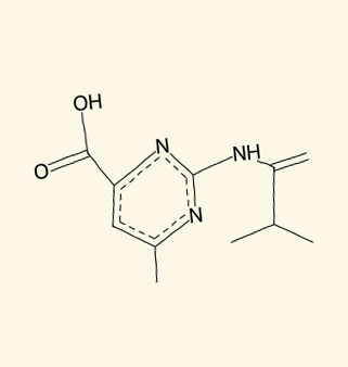 C=C(Nc1nc(C)cc(C(=O)O)n1)C(C)C